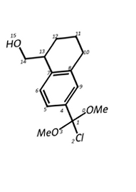 COC(Cl)(OC)c1ccc2c(c1)CCCC2CO